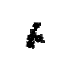 N#C[C@@H]1C=CC(c2nc(NCC3CCNC3)nc3ccc(-c4cccc(F)c4F)cc23)=CC1(F)F